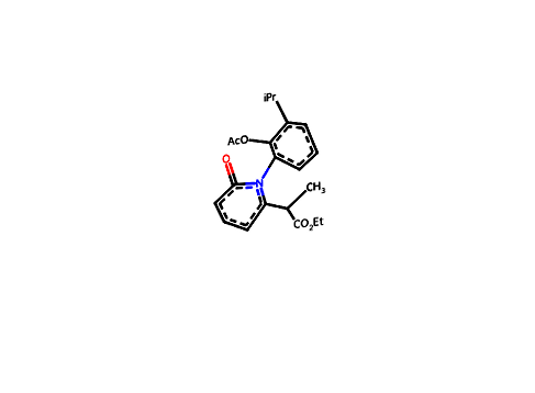 CCOC(=O)C(C)c1cccc(=O)n1-c1cccc(C(C)C)c1OC(C)=O